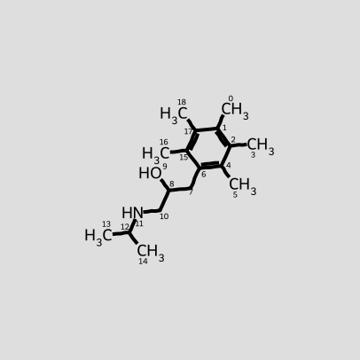 Cc1c(C)c(C)c(CC(O)CNC(C)C)c(C)c1C